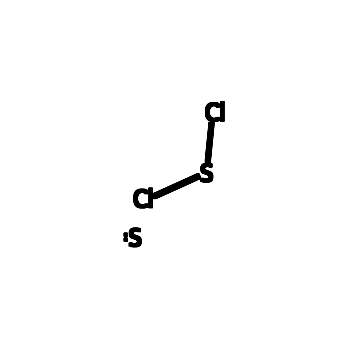 ClSCl.[S]